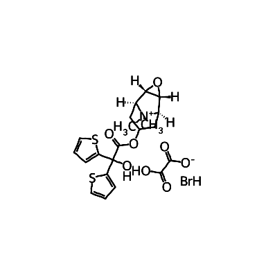 Br.C[N+]1(C)[C@@H]2CC(OC(=O)C(O)(c3cccs3)c3cccs3)C[C@H]1[C@@H]1O[C@@H]12.O=C([O-])C(=O)O